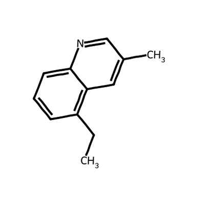 CCc1cccc2ncc(C)cc12